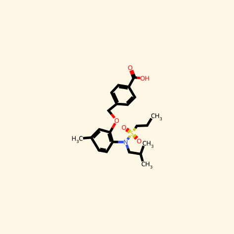 CCCS(=O)(=O)N(CC(C)C)c1ccc(C)cc1OCc1ccc(C(=O)O)cc1